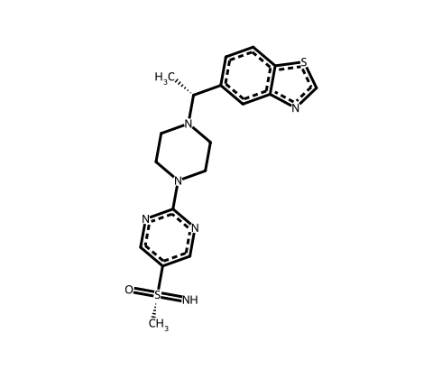 C[C@H](c1ccc2scnc2c1)N1CCN(c2ncc([S@@](C)(=N)=O)cn2)CC1